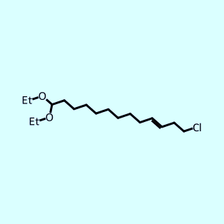 CCOC(CCCCCCCC/C=C/CCCl)OCC